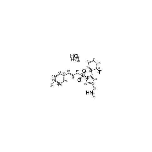 CNCc1cc(-c2ccccc2F)n(S(=O)(=O)CC=Cc2ccc(C)nc2)c1.Cl.Cl